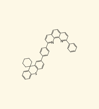 c1ccc(-c2ccc3ccc4ccc(-c5ccc(-c6ccc7c(c6)C6(CCCCC6)c6ccccc6S7)cc5)nc4c3n2)cc1